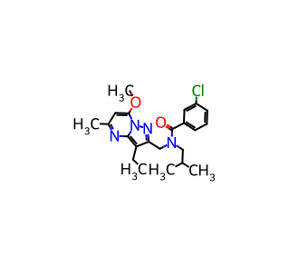 CCc1c(CN(CC(C)C)C(=O)c2cccc(Cl)c2)nn2c(OC)cc(C)nc12